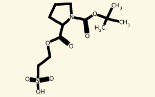 CC(C)(C)OC(=O)N1CCCC1C(=O)OCCS(=O)(=O)O